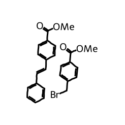 COC(=O)c1ccc(C=Cc2ccccc2)cc1.COC(=O)c1ccc(CBr)cc1